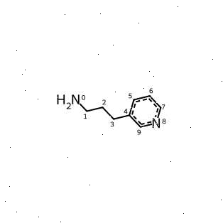 NCCCc1cccnc1